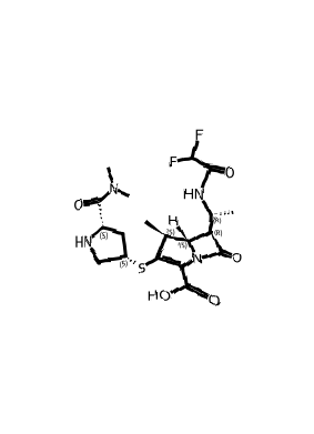 C[C@@H]1C(S[C@@H]2CN[C@H](C(=O)N(C)C)C2)=C(C(=O)O)N2C(=O)[C@H]([C@@H](C)NC(=O)C(F)F)[C@@H]12